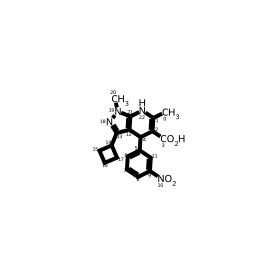 CC1=C(C(=O)O)C(c2cccc([N+](=O)[O-])c2)c2c(C3CCC3)nn(C)c2N1